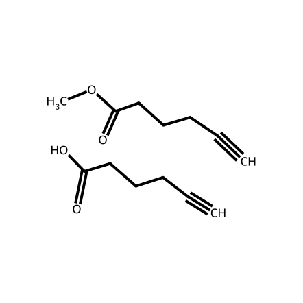 C#CCCCC(=O)O.C#CCCCC(=O)OC